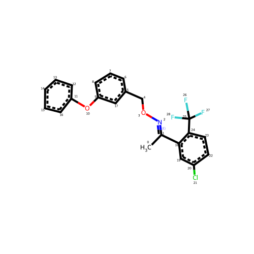 C/C(=N\OCc1cccc(Oc2ccccc2)c1)c1cc(Cl)ccc1C(F)(F)F